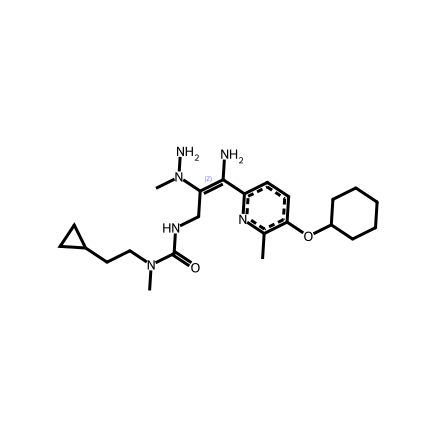 Cc1nc(/C(N)=C(\CNC(=O)N(C)CCC2CC2)N(C)N)ccc1OC1CCCCC1